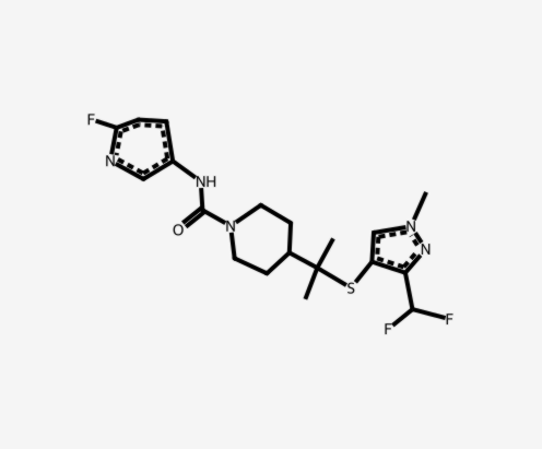 Cn1cc(SC(C)(C)C2CCN(C(=O)Nc3ccc(F)nc3)CC2)c(C(F)F)n1